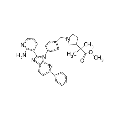 COC(=O)C(C)(C)C1CCN(Cc2ccc(-n3c(-c4cccnc4N)nc4ccc(-c5ccccc5)nc43)cc2)C1